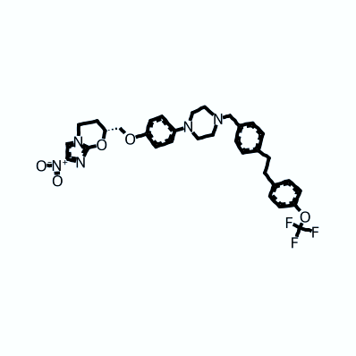 O=[N+]([O-])c1cn2c(n1)O[C@@H](COc1ccc(N3CCN(Cc4ccc(CCc5ccc(OC(F)(F)F)cc5)cc4)CC3)cc1)CC2